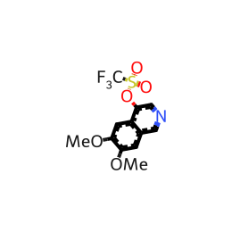 COc1cc2cncc(OS(=O)(=O)C(F)(F)F)c2cc1OC